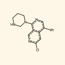 CC(C)c1cnc(N2CCCNC2)c2cnc(Cl)cc12